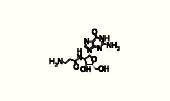 NCCC(=O)N[C@@H]1[C@H](O)[C@@H](CO)O[C@H]1n1cnc2c(=O)[nH]c(N)nc21